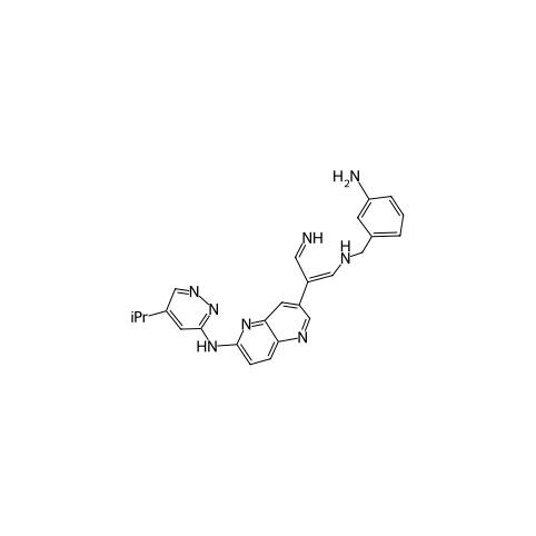 CC(C)c1cnnc(Nc2ccc3ncc(/C(C=N)=C/NCc4cccc(N)c4)cc3n2)c1